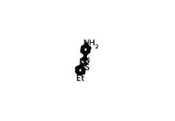 CCc1ccc2c(c1)sc1nc(-c3ccc(N)cc3)cn12